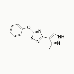 Cc1n[nH]cc1-c1nsc(Oc2ccccc2)n1